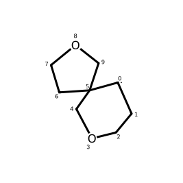 [CH]1CCOCC12CCOC2